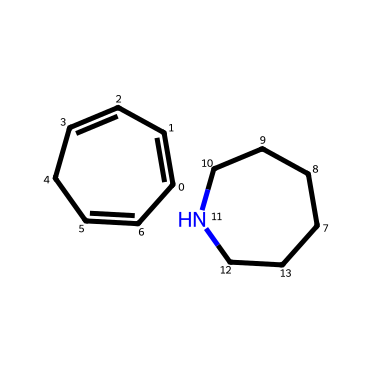 C1=CC=CCC=C1.C1CCCNCC1